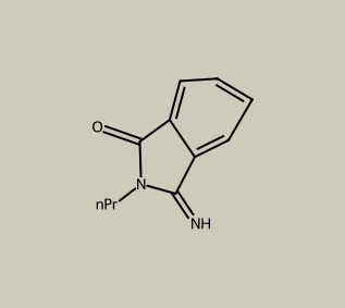 CCCN1C(=N)c2ccccc2C1=O